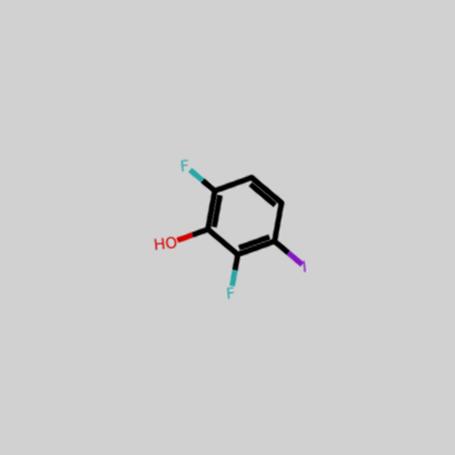 Oc1c(F)ccc(I)c1F